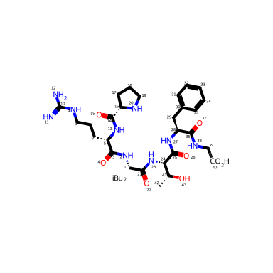 CC[C@H](C)[C@H](NC(=O)[C@H](CCCNC(=N)N)NC(=O)[C@@H]1CCCN1)C(=O)N[C@H](C(=O)N[C@@H](Cc1ccccc1)C(=O)NCC(=O)O)[C@@H](C)O